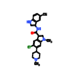 CN1CCC(c2cc3c(cc2Cl)c(C(=O)Nc2c[nH]c4ccc(C#N)cc24)cn3C)CC1